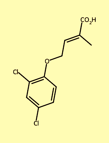 C/C(=C\COc1ccc(Cl)cc1Cl)C(=O)O